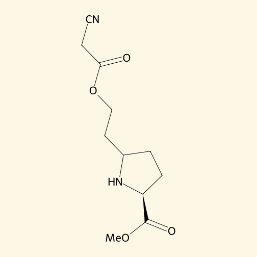 COC(=O)[C@@H]1CCC(CCOC(=O)CC#N)N1